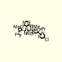 COc1ncnc(OC)c1-n1c(NS(=O)(=O)[C@@H](C)[C@@H](OC(C)C)c2ncc(Cl)cn2)nnc1[C@H]1CC[C@H]1C(F)F